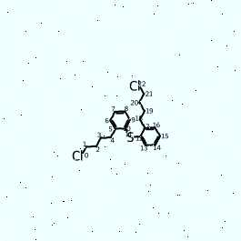 ClCCCCc1ccccc1Sc1ccccc1CCCCCl